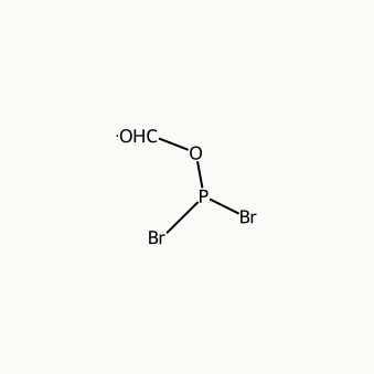 O=[C]OP(Br)Br